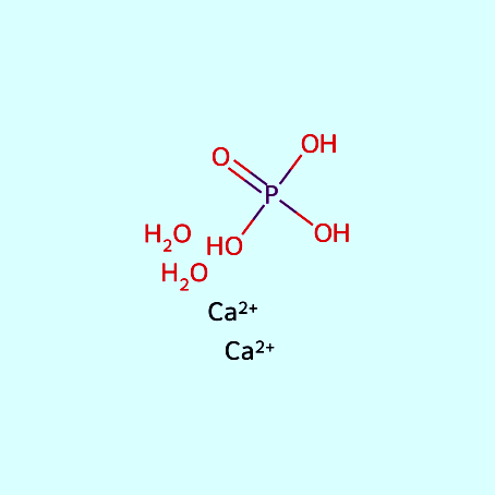 O.O.O=P(O)(O)O.[Ca+2].[Ca+2]